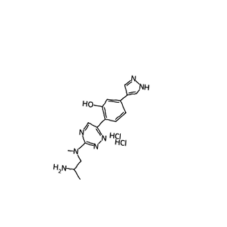 CC(N)CN(C)c1ncc(-c2ccc(-c3cn[nH]c3)cc2O)nn1.Cl.Cl